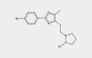 CCC1CCCN1CCc1nc(-c2ccc(Br)cc2)oc1C